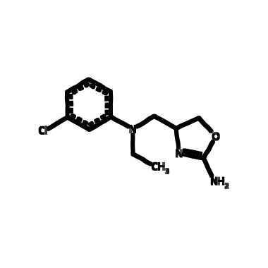 CCN(CC1COC(N)=N1)c1cccc(Cl)c1